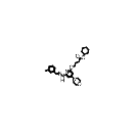 Cc1cccc(/C=N/Nc2cc(N3CCOCC3)cc(OCCCC(=O)OC3CCCCC3)n2)c1